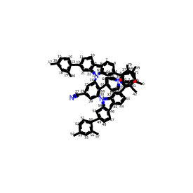 Cc1ccc(-c2ccc3c4ccc(-c5ccc(C)cc5C)cc4n(-c4cc(C#N)cc(-n5c6cc(-c7ccc(C)cc7C)ccc6c6ccc(-c7ccc(C)cc7C)cc65)c4-c4ccncc4)c3c2)c(C)c1